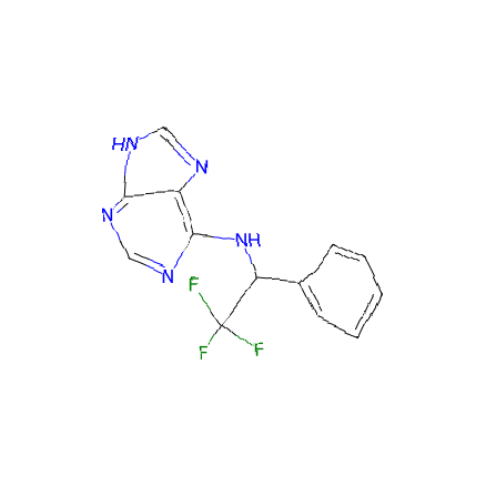 FC(F)(F)C(Nc1ncnc2[nH]cnc12)c1ccccc1